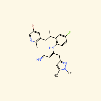 CCn1nc(C/C(=C/C=N)Nc2ccc(F)cc2[C@@H](C)Cc2cc(Br)cnc2C)cc1C#N